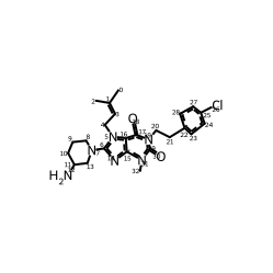 CC(C)=CCn1c(N2CCCC(N)C2)nc2c1c(=O)n(CCc1ccc(Cl)cc1)c(=O)n2C